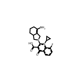 NC1=C2CN(c3c(C(=O)O)c(=O)c4cccc(F)c4n3C3CC3)CC2CCC1